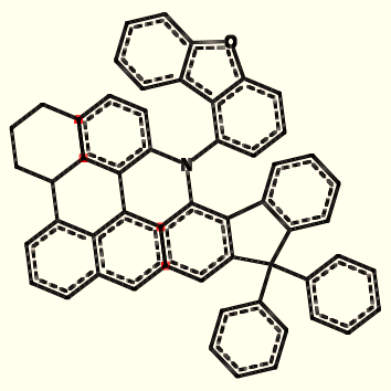 c1ccc(C2(c3ccccc3)c3ccccc3-c3c(N(c4ccccc4-c4cccc5cccc(C6CCCCC6)c45)c4cccc5oc6ccccc6c45)cccc32)cc1